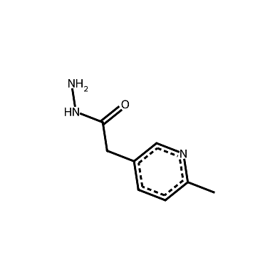 Cc1ccc(CC(=O)NN)cn1